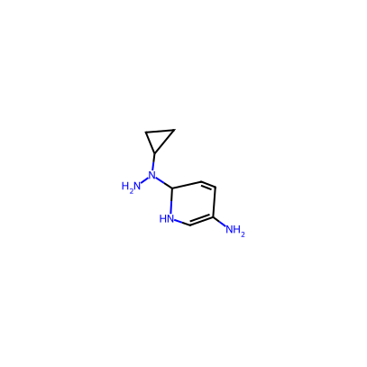 NC1=CNC(N(N)C2CC2)C=C1